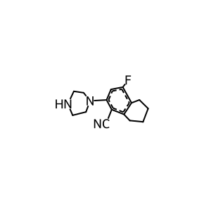 N#Cc1c(N2CCNCC2)cc(F)c2c1CCCC2